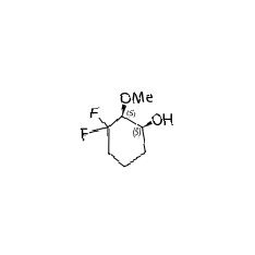 CO[C@H]1[C@@H](O)CCCC1(F)F